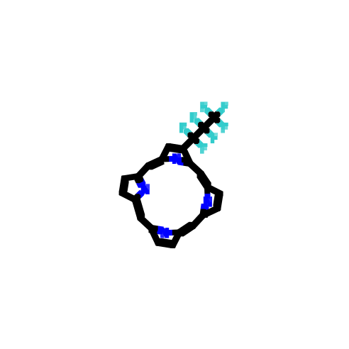 FC(F)(F)C(F)(F)C(F)(F)C1=CC2=CC3=NC(=CC4=NC(=CC5=NC(=CC1=N2)C=C5)C=C4)C=C3